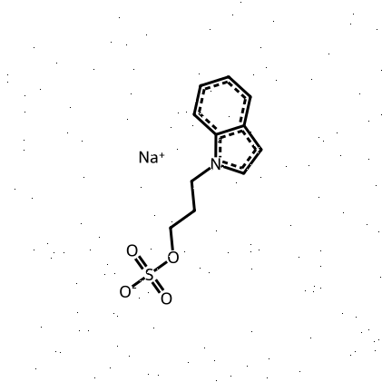 O=S(=O)([O-])OCCCn1ccc2ccccc21.[Na+]